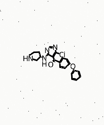 O=C(c1ccc(Oc2ccccc2)cc1)c1c(Cl)ncnc1N[C@@H]1CCCNC1